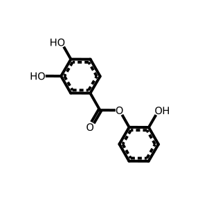 O=C(Oc1ccccc1O)c1ccc(O)c(O)c1